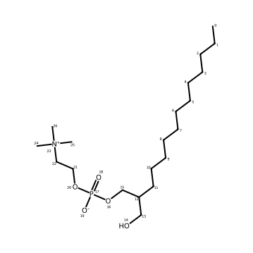 CCCCCCCCCCCCC(CO)COP(=O)([O-])OCC[N+](C)(C)C